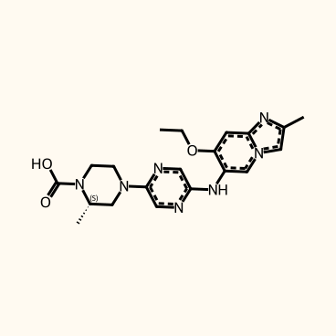 CCOc1cc2nc(C)cn2cc1Nc1cnc(N2CCN(C(=O)O)[C@@H](C)C2)cn1